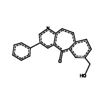 O=c1c2cc(CO)ccc2ccc2ncc(-c3ccccc3)cc12